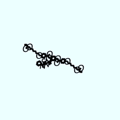 C=CC(=O)OCCCCCCOc1ccc(C(=O)Oc2ccc(OC(=O)c3ccc(OCCCCCCOC(=O)C=C)cc3)c(/C(C)=N/N=c3\sc4ccccc4n3C)c2)cc1